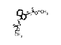 CCOC(=S)SSc1ccc(SSC(=S)OCC)c2ccccc12